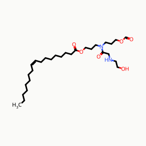 CCCCCCCC/C=C\CCCCCCCC(=O)OCCCN(CCCOC=O)C(=O)CNCCO